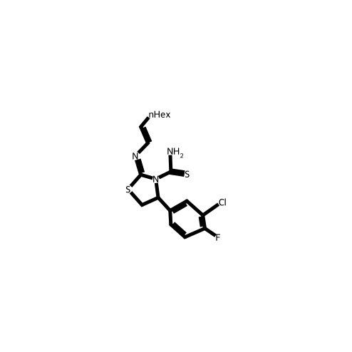 CCCCCCC=CN=C1SCC(c2ccc(F)c(Cl)c2)N1C(N)=S